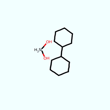 C1CCC(C2CCCCC2)CC1.O[SiH2]O